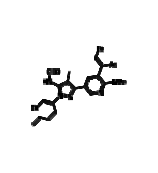 C=C/C=C\C(=C/CC)n1nc(-c2cnc(NC)c(/C(=C/CC)C(C)=O)c2)c(C)c1NC=O